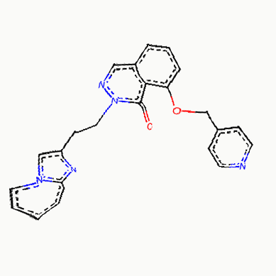 O=c1c2c(OCc3ccncc3)cccc2cnn1CCc1cn2ccccc2n1